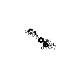 CC1(C)[C@@H]2C[C@H]1[C@@](C)(c1ccc(OC[C@@H]3Cn4ccc(=O)nc4O3)cc1)CC2=O